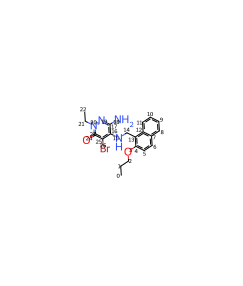 CCCOc1ccc2ccccc2c1CNc1c(N)nn(CC)c(=O)c1Br